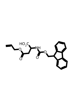 C=CCOC(=O)CC(NC(=O)OCC1c2ccccc2-c2ccccc21)C(=O)O